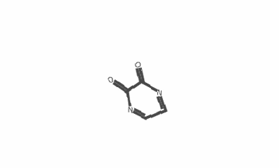 O=C1N=CC=NC1=O